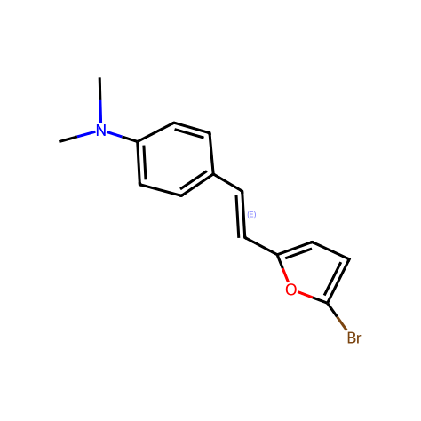 CN(C)c1ccc(/C=C/c2ccc(Br)o2)cc1